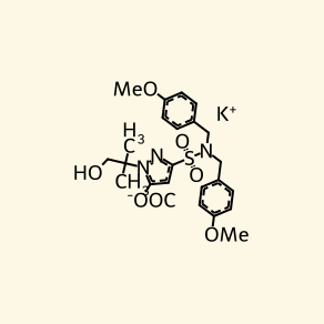 COc1ccc(CN(Cc2ccc(OC)cc2)S(=O)(=O)c2cc(C(=O)[O-])n(C(C)(C)CO)n2)cc1.[K+]